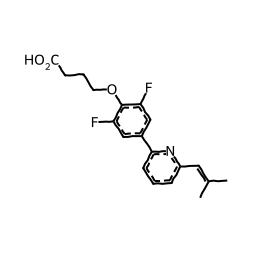 CC(C)=Cc1cccc(-c2cc(F)c(OCCCC(=O)O)c(F)c2)n1